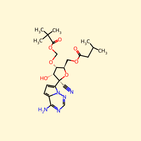 CC(C)CC(=O)OC[C@H]1O[C@@](C#N)(c2ccc3c(N)ncnn23)[C@H](O)[C@@H]1OCOC(=O)C(C)(C)C